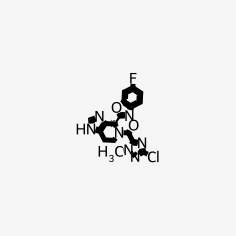 Cn1nc(Cl)nc1C(=O)N1CCc2[nH]cnc2[C@H]1c1nc2ccc(F)cc2o1